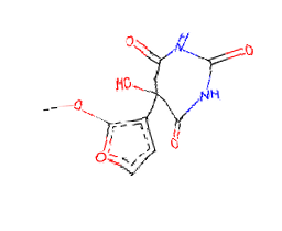 COc1occc1C1(O)C(=O)NC(=O)NC1=O